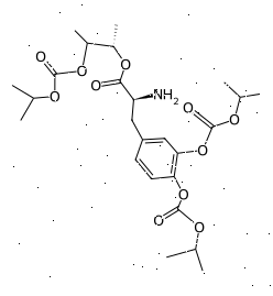 CC(C)OC(=O)Oc1ccc(C[C@H](N)C(=O)O[C@@H](C)C(C)OC(=O)OC(C)C)cc1OC(=O)OC(C)C